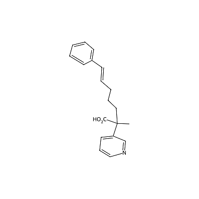 CC(CCC/C=C/c1ccccc1)(C(=O)O)c1cccnc1